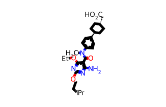 CCOc1nc(OCCC(C)C)nc(N)c1C(=O)N(C)c1ccc([C@H]2CC[C@H](CC(=O)O)CC2)cc1